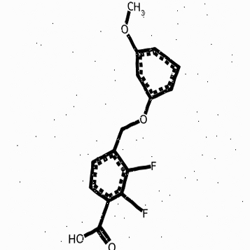 COc1cccc(OCc2ccc(C(=O)O)c(F)c2F)c1